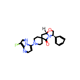 O=C1N2[C@H](CC13CCN(c1ccnc4c(F)cnn14)CC3)OC[C@H]2c1ccccc1